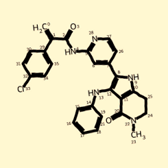 C=C(C(=O)Nc1cc(-c2[nH]c3c(c2Nc2ccccc2)C(=O)N(C)CC3)ccn1)c1ccc(Cl)cc1